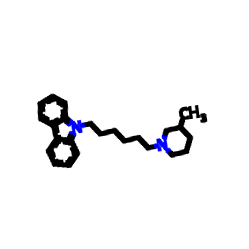 CC1CCCN(CCCCCCn2c3ccccc3c3ccccc32)C1